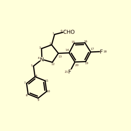 O=CCC1CN(Cc2ccccc2)CC1c1ccc(F)cc1F